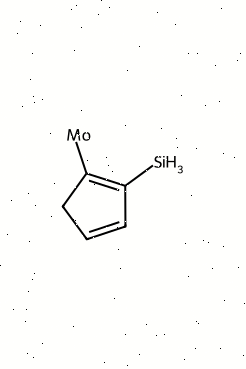 [SiH3]C1=[C]([Mo])CC=C1